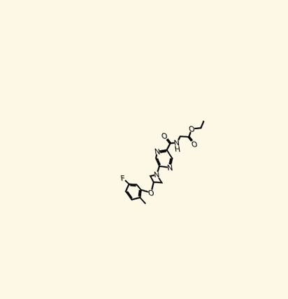 CCOC(=O)CNC(=O)c1cnc(N2CC(Oc3cc(F)ccc3C)C2)cn1